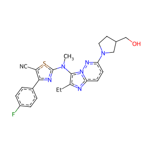 CCc1nc2ccc(N3CCC(CO)C3)nn2c1N(C)c1nc(-c2ccc(F)cc2)c(C#N)s1